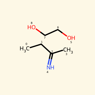 CCC(C)=N.OCCO